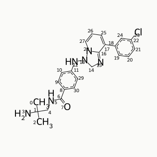 CC(C)(N)CNC(=O)c1ccc(NN2CN=C3C(c4cccc(Cl)c4)=CC=CN32)cc1